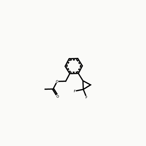 CC(=O)OCc1ccccc1C1CC1(F)F